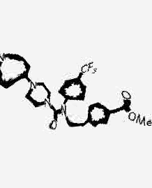 COC(=O)c1ccc(CN(C(=O)N2CCN(c3ccncc3)CC2)c2ccc(C(F)(F)F)cc2)cc1